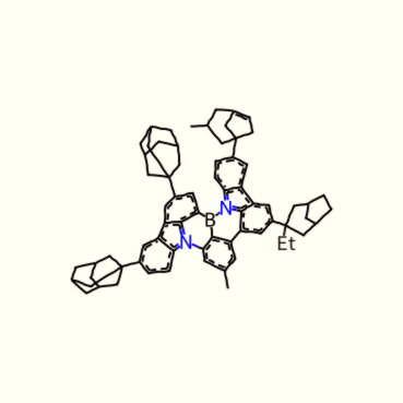 CCC1(c2cc3c4c(c2)c2cc(C56CC=C(CC(C)C5)C6)ccc2n4B2c4c-3cc(C)cc4-n3c4ccc(C56CC7CC(CC(C7)C5)C6)cc4c4cc(C56CC7CC(CC(C7)C5)C6)cc2c43)CC2CCC(C2)C1